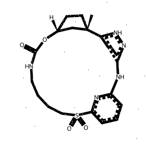 C[C@]12CC[C@H](C1)OC(=O)NCCCCS(=O)(=O)c1cccc(n1)Nc1cc2[nH]n1